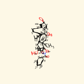 C[C@]12C=CC(=O)C=C1CC[C@@H]1[C@@H]2[C@@H](O)C[C@@]2(C)[C@H]1C[C@H]1CN(C(=O)c3ccccc3)O[C@]12C(=O)CO